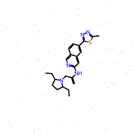 C=C(CN1C(CC)CCC1CC)Nc1cc2cc(-c3nnc(C)s3)ccc2cn1